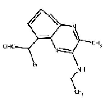 Cc1nc2cccc(C(Br)C=O)c2nc1NCC(F)(F)F